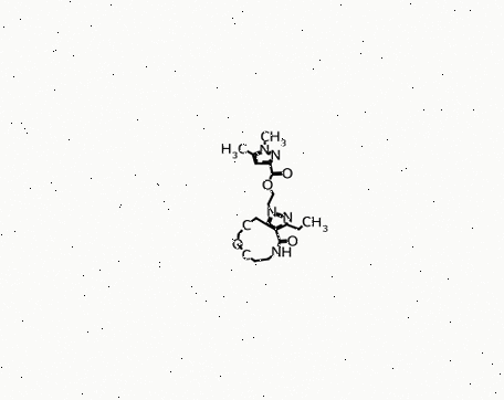 CCc1nn(CCOC(=O)c2cc(C)n(C)n2)c2c1C(=O)NCCCOCCC2